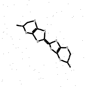 CC1CSC2=C(SC(=C3SC4=C(S3)SC(C)CS4)S2)S1